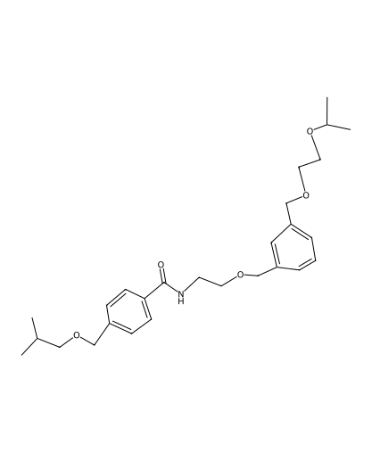 CC(C)COCc1ccc(C(=O)NCCOCc2cccc(COCCOC(C)C)c2)cc1